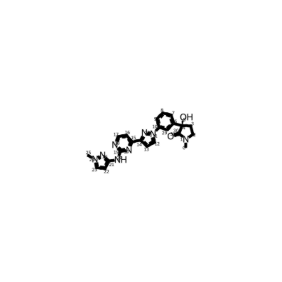 CN1CC[C@@](O)(c2cccc(-n3ccc(-c4ccnc(Nc5ccn(C)n5)n4)n3)c2)C1=O